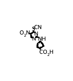 N#CSc1nc(Nc2ccc(C(=O)O)cc2)ncc1[N+](=O)[O-]